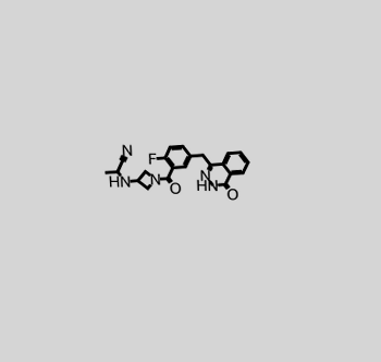 CC(C#N)NC1CN(C(=O)c2cc(Cc3n[nH]c(=O)c4ccccc34)ccc2F)C1